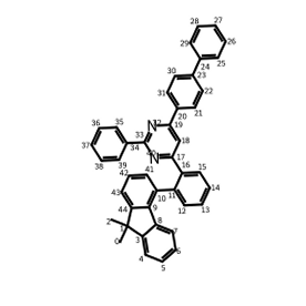 CC1(C)c2ccccc2-c2c(-c3ccccc3-c3cc(-c4ccc(-c5ccccc5)cc4)nc(-c4ccccc4)n3)cccc21